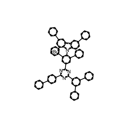 CC(C)(C)c1cc(-c2ccccc2)cc2c3cc(-c4ccccc4)ccc3n(-c3c(-c4ccccc4)cc(-c4nc(-c5ccc(-c6ccccc6)cc5)nc(-c5cc(-c6ccccc6)cc(-c6ccccc6)c5)n4)cc3-c3ccccc3)c12